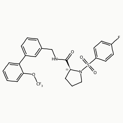 O=C(NCc1cccc(-c2ccccc2OC(F)(F)F)c1)[C@@H]1CCCN1S(=O)(=O)c1ccc(F)cc1